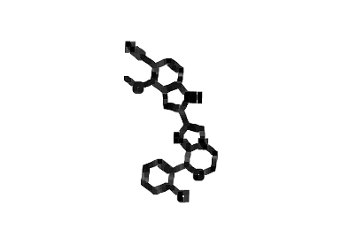 COc1c(C#N)ccc2[nH]c(-c3cn4c(n3)C(c3ccccc3Cl)OCC4)cc12